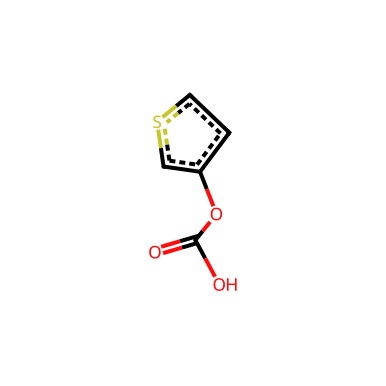 O=C(O)Oc1ccsc1